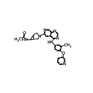 CC(=O)NC1C2CN(c3cc4c(Nc5ccc(Oc6cccnc6)c(C)c5)ncnc4cn3)CC21